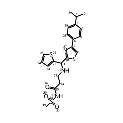 CC(C)c1ccc(-c2csc(C(NCCC(=O)NS(C)(=O)=O)c3cccs3)n2)cc1